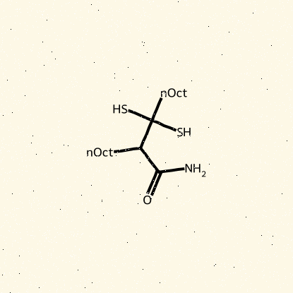 CCCCCCCCC(C(N)=O)C(S)(S)CCCCCCCC